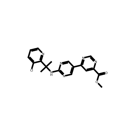 COC(=O)c1cc(-c2cnc(NC(C)(C)c3ncccc3Cl)nc2)ncn1